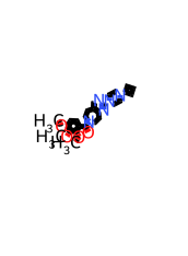 COc1ccc(C(=O)N2CCc3cnc(N4CCN(C5CCC5)CC4)nc3CC2)c(OC)c1OC